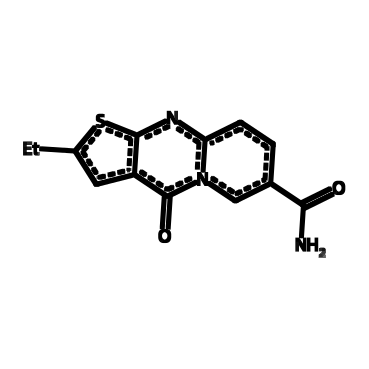 CCc1cc2c(=O)n3cc(C(N)=O)ccc3nc2s1